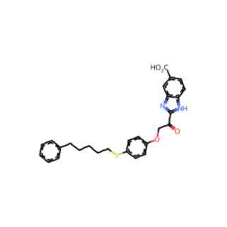 O=C(O)c1ccc2[nH]c(C(=O)COc3ccc(SCCCCCc4ccccc4)cc3)nc2c1